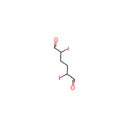 O=CC(I)CCC(I)C=O